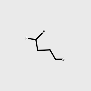 FC(F)CCC[S]